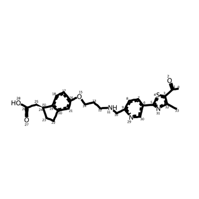 CC(=O)c1sc(-c2ccc(CNCCCOc3ccc4c(c3)CC[C@H]4CC(=O)O)nc2)nc1C